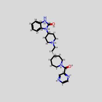 O=C(c1cnccn1)N1CCC[C@H](CCN2CCC(n3c(=O)[nH]c4ccccc43)CC2)CC1